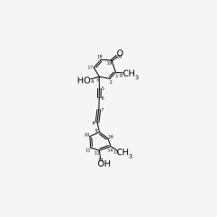 CC1=CC(O)(C#CC#Cc2ccc(O)c(C)c2)C=CC1=O